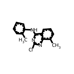 Cc1ccccc1Nc1nc(Cl)nc2c(C)cccc12